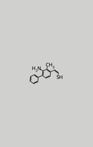 Cc1c(/C=C\S)ccc(-c2ccccc2)c1N